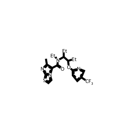 CCC(Oc1ccc(C(F)(F)F)cn1)C(CC)N(CC)C(=O)c1c(C)nc2sccn12